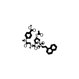 COC(=O)c1ccc(N(C)C(=O)CN(C)C(=O)[C@@H]2C[C@@H](SC(C)=O)CN2S(=O)(=O)CCc2cccc3ccccc23)cc1